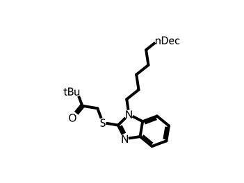 CCCCCCCCCCCCCCCn1c(SCC(=O)C(C)(C)C)nc2ccccc21